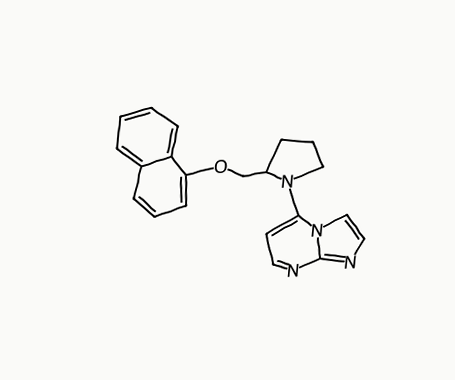 c1ccc2c(OCC3CCCN3c3ccnc4nccn34)cccc2c1